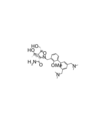 COc1c(CN2O[C@@H](CO)[C@H]([C@H](C)O)[C@H]2C(N)=O)cccc1-c1cc(CN(C)C)cc(CN(C)C)c1